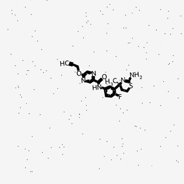 C#CCOc1cnc(C(=O)Nc2ccc(F)c([C@]3(C)CCSC(N)=N3)c2)cn1